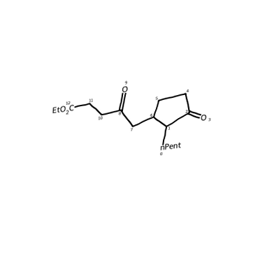 CCCCCC1C(=O)CCC1CC(=O)CCC(=O)OCC